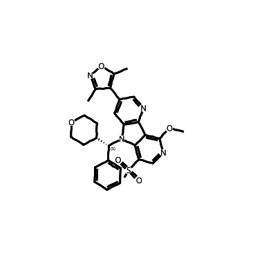 COc1ncc(S(C)(=O)=O)c2c1c1ncc(-c3c(C)noc3C)cc1n2[C@H](c1ccccc1)C1CCOCC1